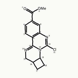 COC(=O)c1ccc2c(c1)N=C(Cl)N1C2=NCC2CCC21